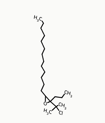 CCCCCCCCCCCCCC1OC1(CCC)C(C)(C)Cl